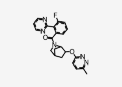 Cc1ccc(OC2CC3CC2N(C(=O)c2cccc(F)c2-c2ncccn2)C3)nn1